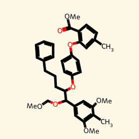 COCOC(c1cc(OC)c(C)c(OC)c1)C(CCCc1ccccc1)Oc1ccc(Oc2cc(C)ccc2C(=O)OC)cc1